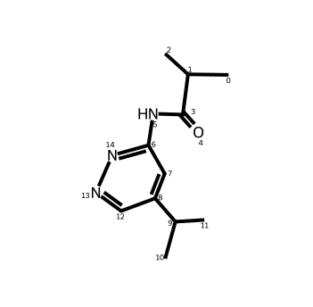 CC(C)C(=O)Nc1cc(C(C)C)cnn1